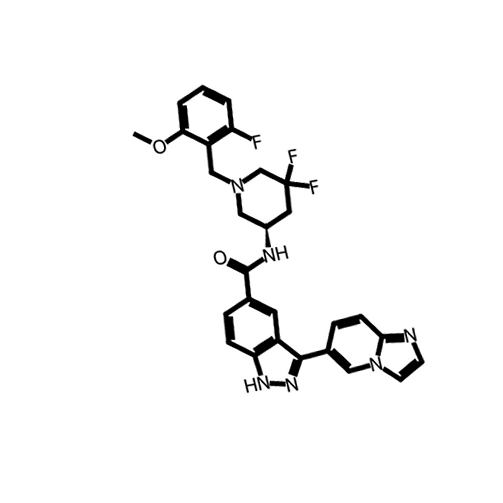 COc1cccc(F)c1CN1C[C@H](NC(=O)c2ccc3[nH]nc(-c4ccc5nccn5c4)c3c2)CC(F)(F)C1